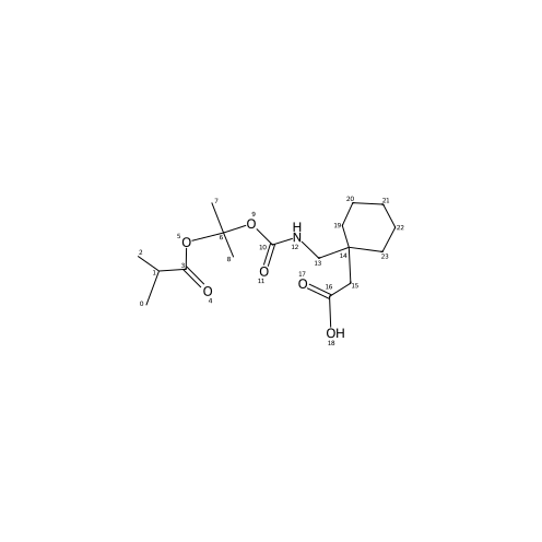 CC(C)C(=O)OC(C)(C)OC(=O)NCC1(CC(=O)O)CCCCC1